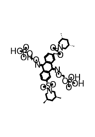 C[C@@H]1C[C@H](C)CN(S(=O)(=O)c2ccc3c(c2)C(=NOCOP(=O)(O)O)c2cc(S(=O)(=O)N4C[C@H](C)C[C@H](C)C4)ccc2C3=NOCOP(=O)(O)O)C1